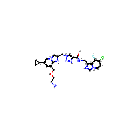 NCCOCc1cc(C2CC2)cn2cc(Cn3cc(C(=O)NCc4ncn5ccc(Cl)c(F)c45)nn3)nc12